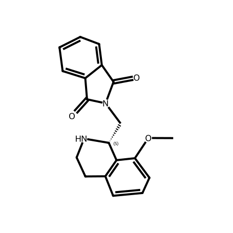 COc1cccc2c1[C@@H](CN1C(=O)c3ccccc3C1=O)NCC2